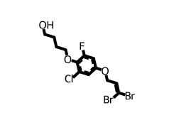 OCCCCOc1c(F)cc(OCC=C(Br)Br)cc1Cl